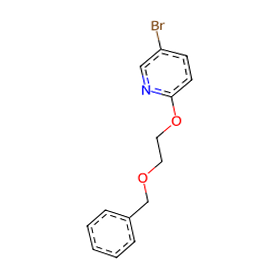 Brc1ccc(OCCOCc2ccccc2)nc1